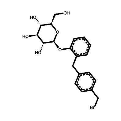 N#CCc1ccc(Cc2ccccc2O[C@@H]2O[C@H](CO)[C@@H](O)[C@H](O)[C@H]2O)cc1